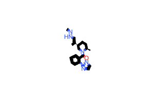 C=NN/C=C(\C)[C@@H]1CC[C@@H](C)N(C(=O)c2ccccc2-n2nccn2)C1